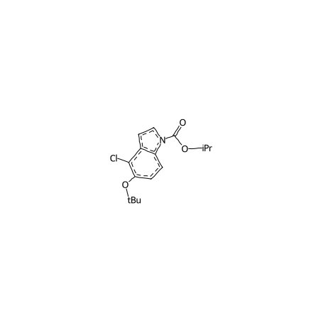 CC(C)OC(=O)n1ccc2c(Cl)c(OC(C)(C)C)ccc21